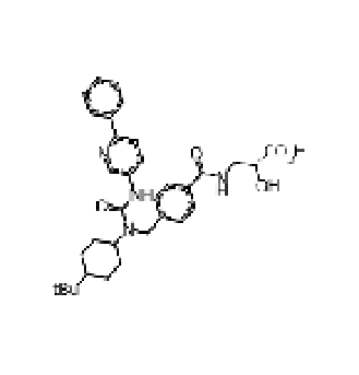 CC(C)(C)C1CCC(N(Cc2ccc(C(=O)NC[C@@H](O)C(=O)O)cc2)C(=O)Nc2ccc(-c3ccccc3)nc2)CC1